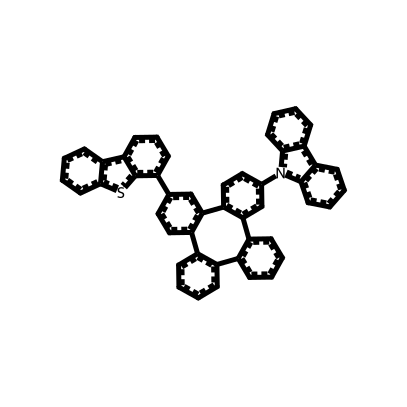 c1ccc2c(c1)-c1ccccc1-c1cc(-n3c4ccccc4c4ccccc43)ccc1-c1cc(-c3cccc4c3sc3ccccc34)ccc1-2